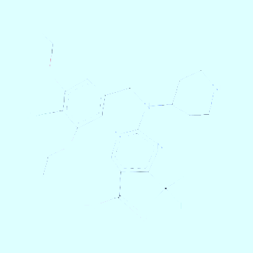 CCOc1cc(CN(c2ncc(C(=O)O)c(C(F)(F)F)n2)C2CCNCC2)cc(OCC)c1Cl